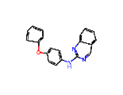 c1ccc(Oc2ccc(Nc3ncc4ccccc4n3)cc2)cc1